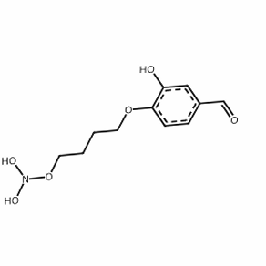 O=Cc1ccc(OCCCCON(O)O)c(O)c1